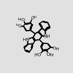 Oc1cc(C2c3[nH]c4ccccc4c3C(c3cc(O)c(O)c(O)c3)c3[nH]c4ccccc4c32)cc(O)c1O